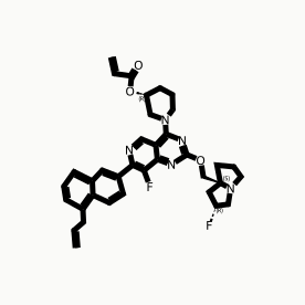 C=CCc1cccc2cc(-c3ncc4c(N5CCC[C@@H](OC(=O)C=C)C5)nc(OC[C@@]56CCCN5C[C@H](F)C6)nc4c3F)ccc12